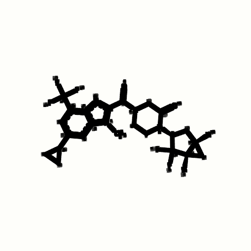 Cn1c(C(=O)N2CCN([C@H]3C[C@@H]4C[C@@H]4C3(F)F)C(=O)C2)nc2c(C(F)(F)F)cc(C3CC3)cc21